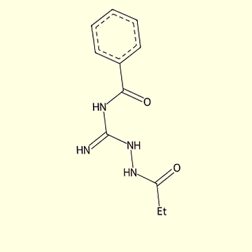 CCC(=O)NNC(=N)NC(=O)c1ccccc1